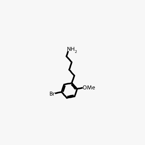 COc1ccc(Br)cc1CCCCN